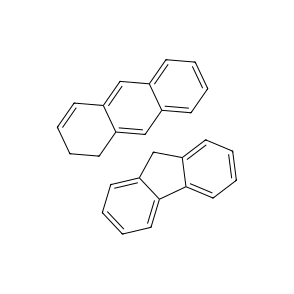 C1=Cc2cc3ccccc3cc2CC1.c1ccc2c(c1)Cc1ccccc1-2